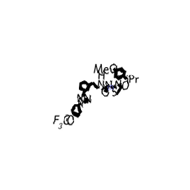 COc1ccc(C(C)C)c(N2C(=O)CS/C2=N\C(=O)NCCc2cccc(-c3ncn(-c4ccc(OC(F)(F)F)cc4)n3)c2)c1